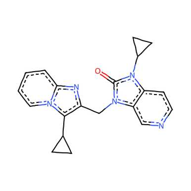 O=c1n(Cc2nc3ccccn3c2C2CC2)c2cnccc2n1C1CC1